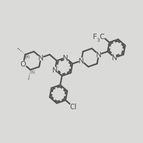 C[C@@H]1CN(Cc2nc(-c3cccc(Cl)c3)cc(N3CCN(c4ncccc4C(F)(F)F)CC3)n2)C[C@H](C)O1